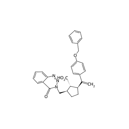 C=C(c1ccc(OCc2ccccc2)cc1)[C@H]1CC[C@@H](Cn2nnc3ccccc3c2=O)[C@@H]1C(=O)O